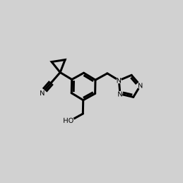 N#CC1(c2cc(CO)cc(Cn3cncn3)c2)CC1